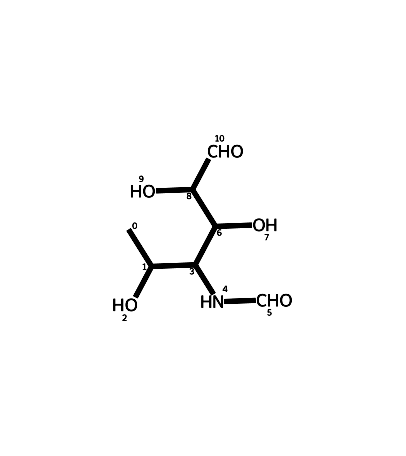 CC(O)C(NC=O)C(O)C(O)C=O